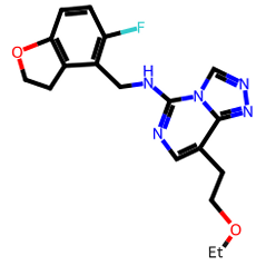 CCOCCc1cnc(NCc2c(F)ccc3c2CCO3)n2cnnc12